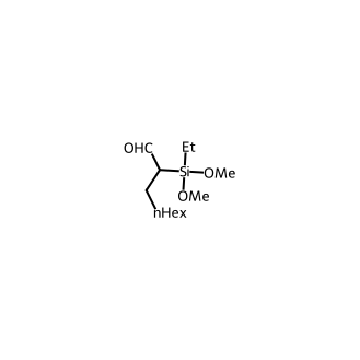 CCCCCCCC(C=O)[Si](CC)(OC)OC